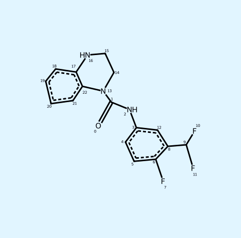 O=C(Nc1ccc(F)c(C(F)F)c1)N1CCNc2ccccc21